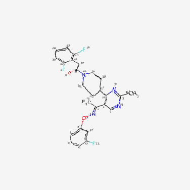 Cc1ncc(/C(=N/Oc2cccc(F)c2)C(F)(F)F)c(C2CCN(C(=O)Cc3c(F)cccc3F)CC2)n1